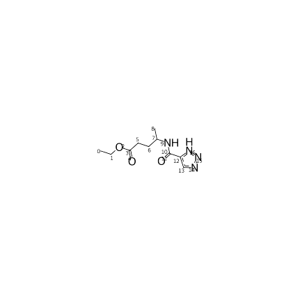 CCOC(=O)CCC(C)NC(=O)c1cnn[nH]1